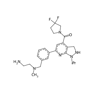 CC(C)N1NCc2c(C(=O)N3CCC(F)(F)C3)cc(-c3cccc(CN(C)CCN)c3)nc21